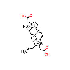 C=CCC1C[C@@]2(C)C(=CC[C@@H]3[C@@H]2CC[C@]2(C)C(CC(=O)O)CC[C@@H]32)C=C1CC(=O)O